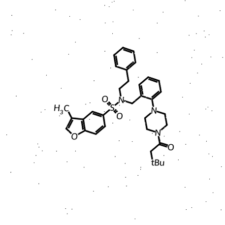 Cc1coc2ccc(S(=O)(=O)N(CCc3ccccc3)Cc3ccccc3N3CCN(C(=O)CC(C)(C)C)CC3)cc12